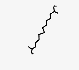 CCCCC(F)CCCC[CH]CCCCCC(F)CCC